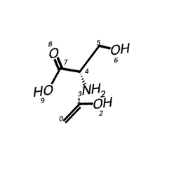 C=CO.N[C@@H](CO)C(=O)O